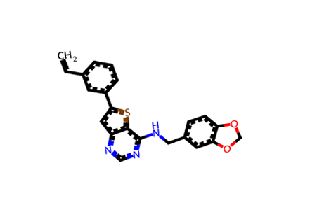 C=Cc1cccc(-c2cc3ncnc(NCc4ccc5c(c4)OCO5)c3s2)c1